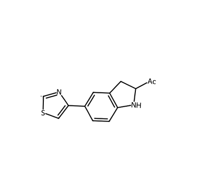 CC(=O)C1Cc2cc(-c3cs[c]n3)ccc2N1